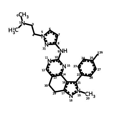 CN(C)CCn1ccc(Nc2ncc3c(n2)-c2c(nn(C)c2-c2ccc(I)cc2)CC3)n1